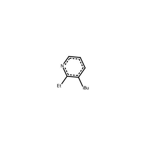 CCc1ncccc1C(C)CC